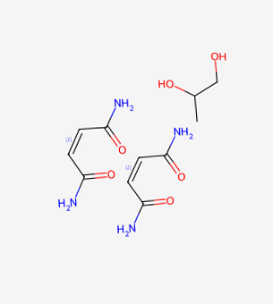 CC(O)CO.NC(=O)/C=C\C(N)=O.NC(=O)/C=C\C(N)=O